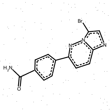 NC(=O)c1ccc(-c2ccc3ncc(Br)n3n2)cc1